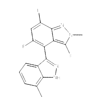 Cc1cccc2c(-c3c(F)cc(F)c4nn(C)c(F)c34)n[nH]c12